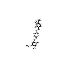 COc1cc(CCN2CCN(CCc3ccc4c(c3C)COC4=O)CC2)c(F)cc1C#N